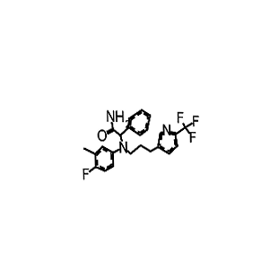 Cc1cc(N(CCCc2ccc(C(F)(F)F)nc2)C(C(N)=O)c2ccccc2)ccc1F